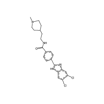 CN1CCC(CCNC(=O)c2ccc(-c3nc4cc(Cl)c(Cl)cc4[nH]3)cc2)CC1